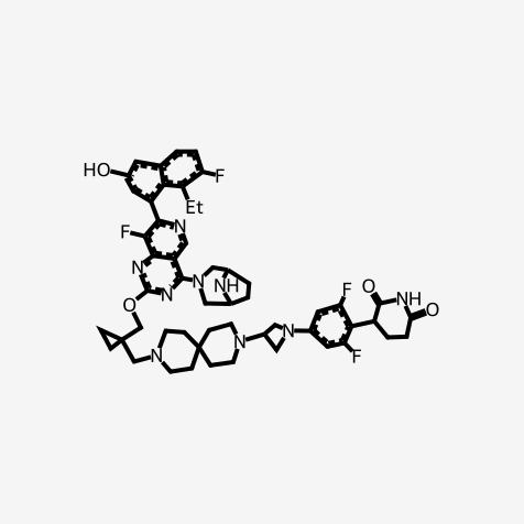 CCc1c(F)ccc2cc(O)cc(-c3ncc4c(N5CC6CCC(C5)N6)nc(OCC5(CN6CCC7(CC6)CCN(C6CN(c8cc(F)c(C9CCC(=O)NC9=O)c(F)c8)C6)CC7)CC5)nc4c3F)c12